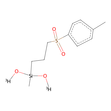 [3H]O[Si](C)(CCCS(=O)(=O)c1ccc(C)cc1)O[3H]